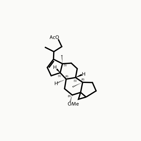 CO[C@@H]1C[C@H]2[C@@H]3CC=C(C(C)COC(C)=O)[C@@]3(C)CC[C@@H]2[C@@]2(C)CCC3CC312